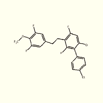 CCc1ccc(-c2c([O])cc(F)c(CCc3cc(F)c(OC(F)(F)F)c(F)c3)c2F)cc1